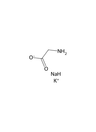 NCC(=O)[O-].[K+].[NaH]